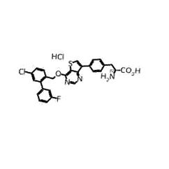 Cl.N[C@@H](Cc1ccc(-c2csc3c(OCc4ccc(Cl)cc4-c4cccc(F)c4)ncnc23)cc1)C(=O)O